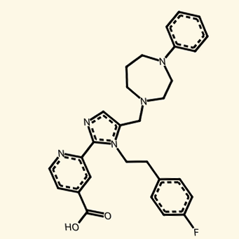 O=C(O)c1ccnc(-c2ncc(CN3CCCN(c4ccccc4)CC3)n2CCc2ccc(F)cc2)c1